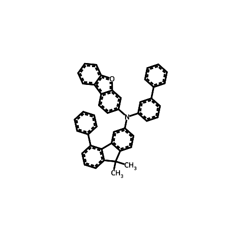 CC1(C)c2ccc(N(c3cccc(-c4ccccc4)c3)c3ccc4c(c3)oc3ccccc34)cc2-c2c(-c3ccccc3)cccc21